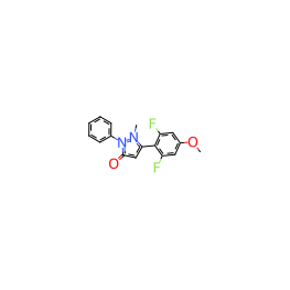 COc1cc(F)c(-c2cc(=O)n(-c3ccccc3)n2C)c(F)c1